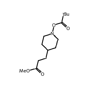 COC(=O)CCC1CCN(OC(=O)C(C)(C)C)CC1